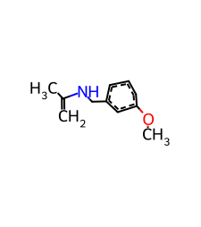 C=C(C)NCc1cccc(OC)c1